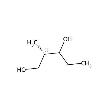 CCC(O)[C@@H](C)CO